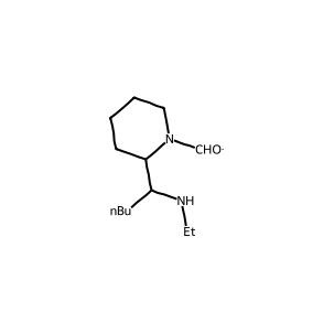 CCCCC(NCC)C1CCCCN1[C]=O